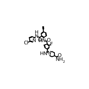 C#Cc1ccc(NC(=O)c2ccc(C(=N)N3CCC(C(N)=O)CC3)cc2F)c(C(=O)Nc2ccc(Cl)cn2)c1